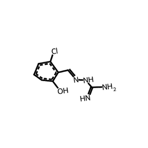 N=C(N)N/N=C/c1c(O)cccc1Cl